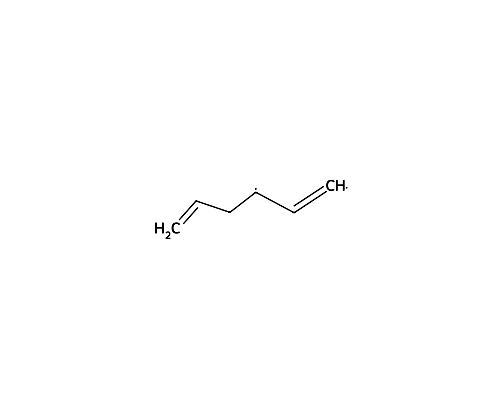 [CH]=C[CH]CC=C